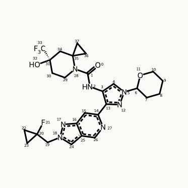 O=C(Nc1cn(C2CCCCO2)nc1-c1cc2nn(CC3(F)CC3)cc2cn1)N1CC[C@](O)(C(F)(F)F)CC12CC2